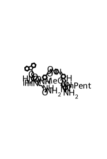 CCCCCNc1nc(N)nc2ccn(Cc3ccc(CN4CCN(C(=O)OCc5ccc(NC(=O)C(CCCNC(N)=O)NC(=O)C(NC(=O)OCC6c7ccccc7-c7ccccc76)C(C)C)cc5)CC4)cc3OC)c12